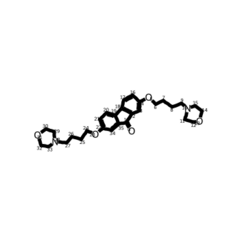 O=C1c2cc(OCCCCN3CCOCC3)ccc2-c2ccc(OCCCCN3CCOCC3)cc21